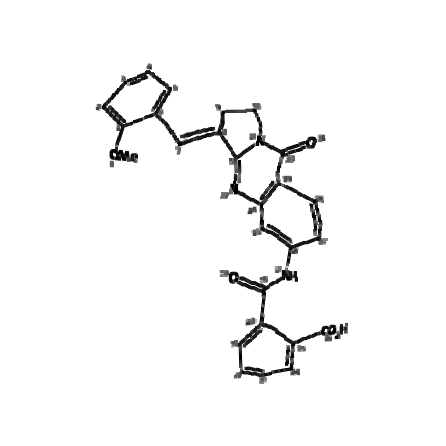 COc1ccccc1C=C1CCn2c1nc1cc(NC(=O)c3ccccc3C(=O)O)ccc1c2=O